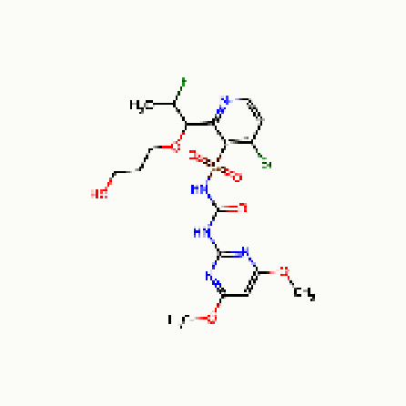 COc1cc(OC)nc(NC(=O)NS(=O)(=O)c2c(Br)ccnc2C(OCCCO)C(C)F)n1